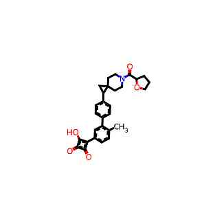 Cc1ccc(-c2c(O)c(=O)c2=O)cc1-c1ccc(C2CC23CCN(C(=O)C2CCCO2)CC3)cc1